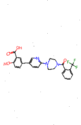 O=C(O)c1cc(-c2ccc(N3CCN(C(=O)c4ccccc4C(F)(F)F)CC3)nc2)ccc1O